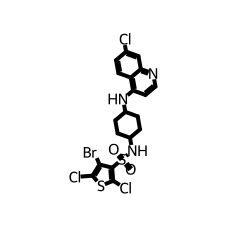 O=S(=O)(NC1CCC(Nc2ccnc3cc(Cl)ccc23)CC1)c1c(Cl)sc(Cl)c1Br